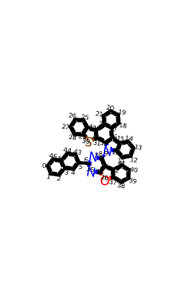 c1ccc2cc(-c3nc(-n4c5ccccc5c5c6ccccc6c6c7ccccc7sc6c54)c4c(n3)oc3ccccc34)ccc2c1